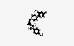 CCC1CCC(NC(=O)[C@H]2CC2CN2CCN(c3ncc(F)cc3Cl)CC2)CC1